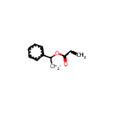 [CH2]C(OC(=O)C=C)c1ccccc1